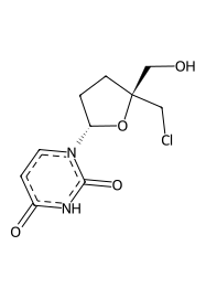 O=c1ccn([C@@H]2CC[C@](CO)(CCl)O2)c(=O)[nH]1